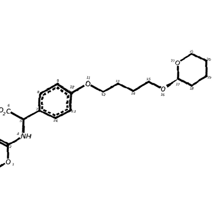 CC(C)(C)OC(=O)NC(C(=O)O)c1ccc(OCCCCO[C@@H]2CCCCO2)cc1